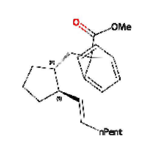 CCCCCC=C[C@H]1CCC[C@@H]1CC1(C(=O)OC)C2=CC=C1C=C2